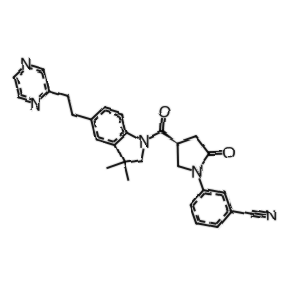 CC1(C)CN(C(=O)[C@H]2CC(=O)N(c3cccc(C#N)c3)C2)c2ccc(CCc3cnccn3)cc21